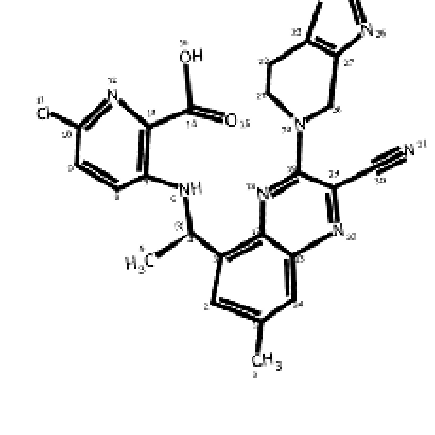 Cc1cc([C@@H](C)Nc2ccc(Cl)nc2C(=O)O)c2nc(N3CCc4scnc4C3)c(C#N)nc2c1